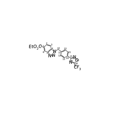 CCOC(=O)c1ccc2c(c1)nnn2Cc1ccc(-c2noc(C(F)(F)F)n2)cc1